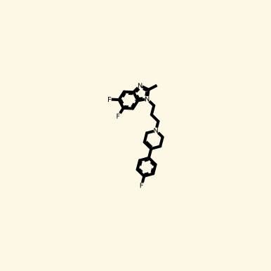 Cc1nc2cc(F)c(F)cc2n1CCCN1CC=C(c2ccc(F)cc2)CC1